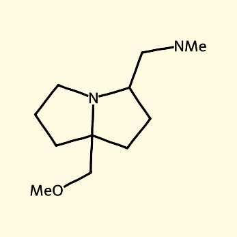 CNCC1CCC2(COC)CCCN12